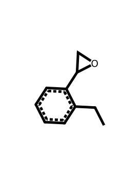 CCc1ccccc1C1CO1